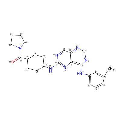 Cc1cccc(Nc2ncnc3cnc(NC4CCC(C(=O)N5CCCC5)CC4)nc23)c1